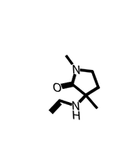 C=CNC1(C)CCN(C)C1=O